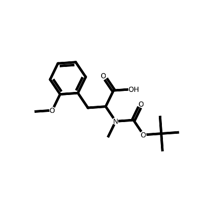 COc1ccccc1CC(C(=O)O)N(C)C(=O)OC(C)(C)C